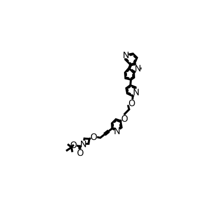 Cn1c2ccncc2c2ccc(-c3ccc(OCCCOc4ccc(C#CCOC5CN(C(=O)OC(C)(C)C)C5)nc4)nc3)cc21